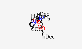 CCCCCCCCCCCCCOC(=O)C[C@H](C[N+](C)(C)C)OC(=O)CCCCCCCCCCCC.O=C([O-])c1cccnc1